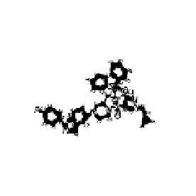 CC(C)(C)[Si](OC[C@@H]1CN(c2ccc3c(cnn3-c3ccc(F)cc3)c2)CCN1S(=O)(=O)c1cnn(CC2CC2)c1)(c1ccccc1)c1ccccc1